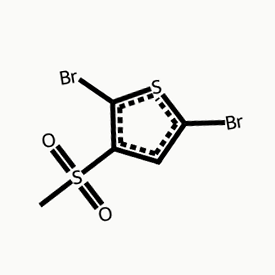 CS(=O)(=O)c1cc(Br)sc1Br